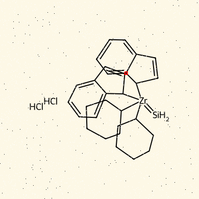 Cl.Cl.[SiH2]=[Zr]([CH]1CCCCC1)([CH]1CCCCC1)([CH]1C=Cc2ccccc21)[CH]1C=Cc2ccccc21